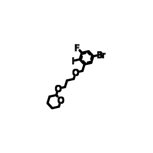 Fc1cc(Br)cc(COCCCOC2CCCCO2)c1I